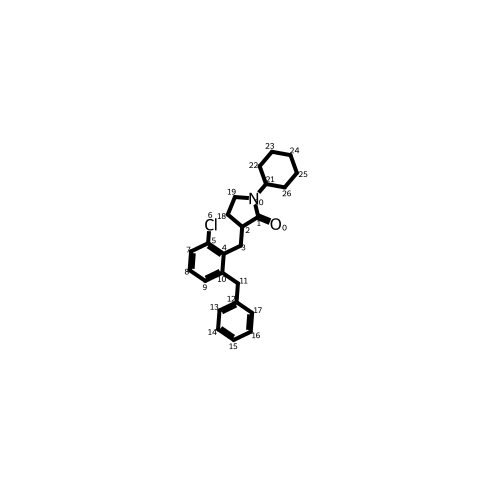 O=C1C(Cc2c(Cl)cccc2Cc2ccccc2)CCN1C1CCCCC1